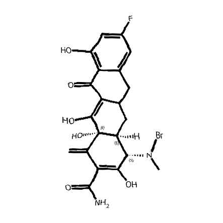 C=C1C(C(N)=O)=C(O)[C@@H](N(C)Br)[C@@H]2CC3Cc4cc(F)cc(O)c4C(=O)C3=C(O)[C@]12O